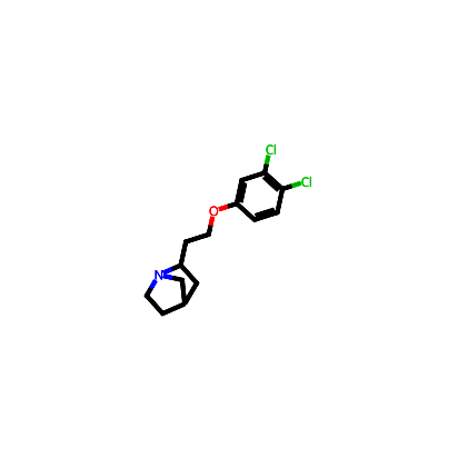 Clc1ccc(OCCC2CC3CCN2C3)cc1Cl